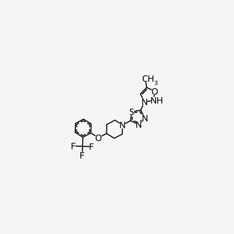 CC1=CN(c2nnc(N3CCC(Oc4ccccc4C(F)(F)F)CC3)s2)NO1